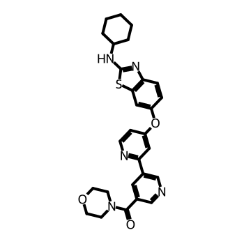 O=C(c1cncc(-c2cc(Oc3ccc4nc(NC5CCCCC5)sc4c3)ccn2)c1)N1CCOCC1